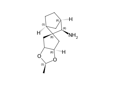 C[C@H]1OC2C[C@@]3(C[C@H]2O1)[C@H]1CC[C@H](C1)[C@H]3N